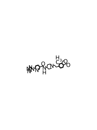 Cc1c(CCN2CCC(NC(=O)c3ccc(-n4cnnn4)nc3)CC2)ccc2c1COC2=O